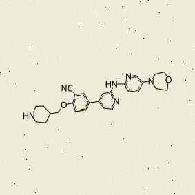 N#Cc1cc(-c2ccnc(Nc3ccc(N4CCOCC4)cn3)c2)ccc1OCC1CCNCC1